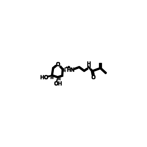 C=C(C)C(=O)NCCNC[C@@H]1C[C@H](O)[C@@H](O)CO1